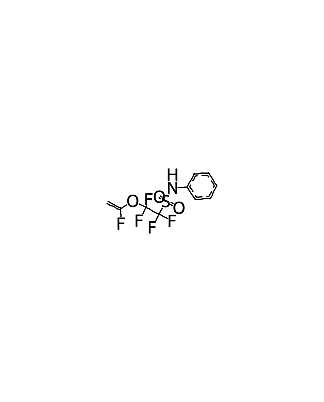 C=C(F)OC(F)(F)C(F)(F)S(=O)(=O)Nc1ccccc1